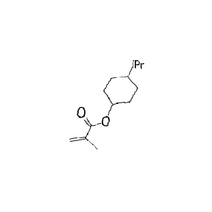 C=C(C)C(=O)OC1CCC(C(C)C)CC1